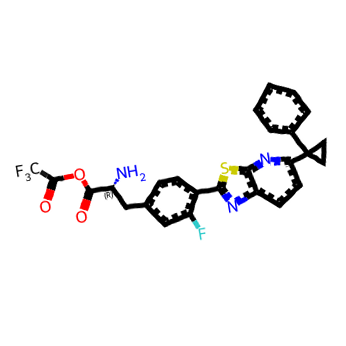 N[C@H](Cc1ccc(-c2nc3ccc(C4(c5ccccc5)CC4)nc3s2)c(F)c1)C(=O)OC(=O)C(F)(F)F